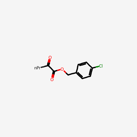 CCCC(=O)C(=O)OCc1ccc(Cl)cc1